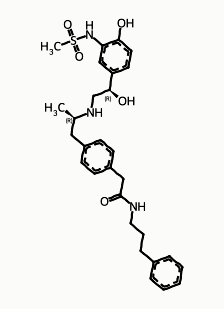 C[C@H](Cc1ccc(CC(=O)NCCCc2ccccc2)cc1)NC[C@H](O)c1ccc(O)c(NS(C)(=O)=O)c1